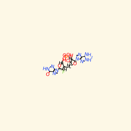 NC1NC=Nc2c1ncn2[C@@H]1OC2CC[C@H]3[C@@H](F)[C@H](n4cnc5c(=O)[nH]cnc54)O[C@@H]3COP(=O)(O)O[C@@H]1[C@@H]2O